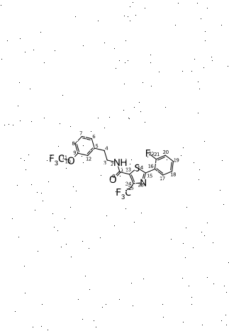 O=C(NCCc1cccc(OC(F)(F)F)c1)c1sc(-c2ccccc2F)nc1C(F)(F)F